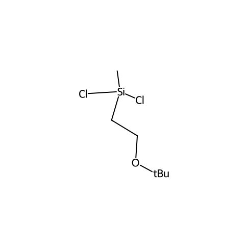 CC(C)(C)OCC[Si](C)(Cl)Cl